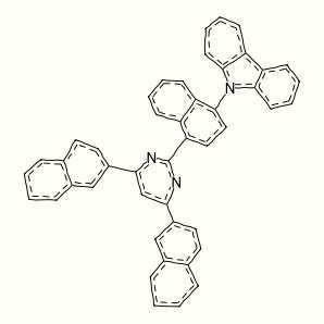 c1ccc2cc(-c3cc(-c4ccc5ccccc5c4)nc(-c4ccc(-n5c6ccccc6c6ccccc65)c5ccccc45)n3)ccc2c1